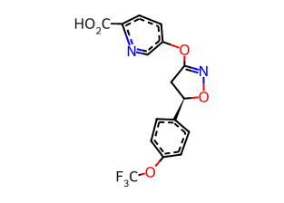 O=C(O)c1ccc(OC2=NO[C@@H](c3ccc(OC(F)(F)F)cc3)C2)cn1